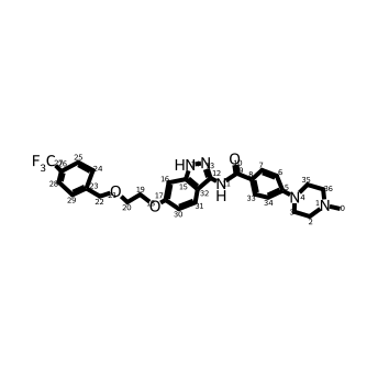 CN1CCN(c2ccc(C(=O)Nc3n[nH]c4cc(OCCOCc5ccc(C(F)(F)F)cc5)ccc34)cc2)CC1